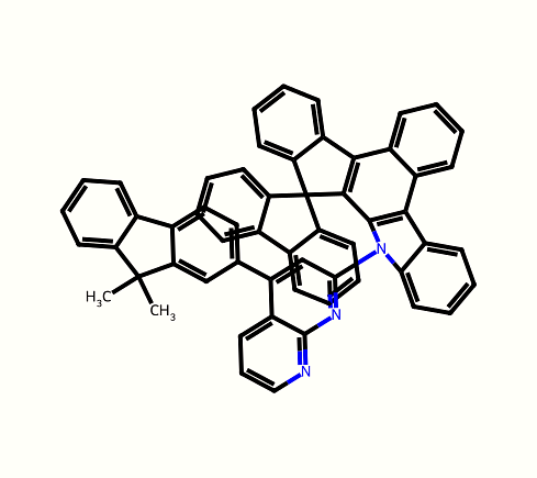 CC1(C)c2ccccc2-c2ccc(-c3cc(-n4c5ccccc5c5c6ccccc6c6c(c54)C4(c5ccccc5-c5ccccc54)c4ccccc4-6)nc4ncccc34)cc21